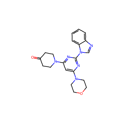 O=C1CCN(c2cc(N3CCOCC3)nc(-n3cnc4ccccc43)n2)CC1